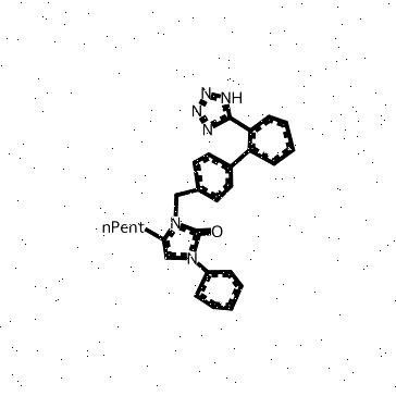 CCCCCc1cn(-c2ccccc2)c(=O)n1Cc1ccc(-c2ccccc2-c2nnn[nH]2)cc1